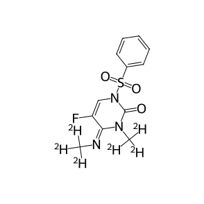 [2H]C([2H])([2H])N=c1c(F)cn(S(=O)(=O)c2ccccc2)c(=O)n1C([2H])([2H])[2H]